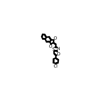 O=C1C(=Cc2nc3oc(-c4ccc(Cl)cc4)cc3s2)C(=O)c2cc3ccccc3cc21